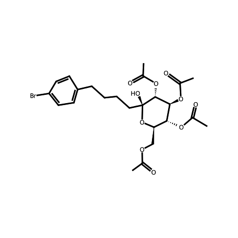 CC(=O)OC[C@H]1O[C@](O)(CCCCc2ccc(Br)cc2)[C@H](OC(C)=O)[C@@H](OC(C)=O)[C@@H]1OC(C)=O